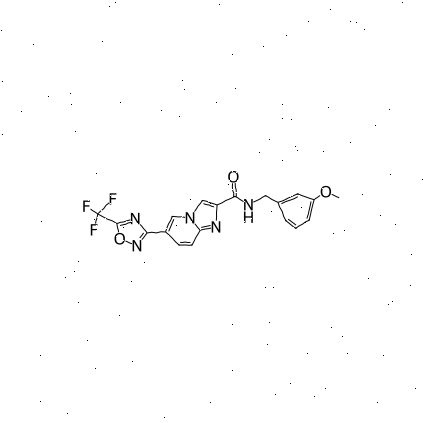 COc1cccc(CNC(=O)c2cn3cc(-c4noc(C(F)(F)F)n4)ccc3n2)c1